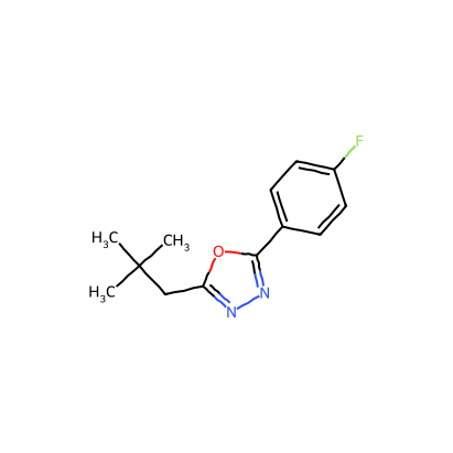 CC(C)(C)Cc1nnc(-c2ccc(F)cc2)o1